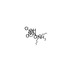 CCCCCCC(N)(CCCCCC)CC(=O)NC1CCC(=O)N(CC(=O)c2ccccc2)C1=O